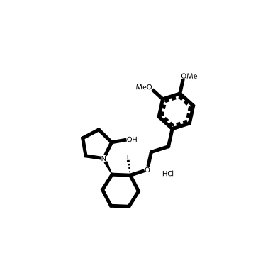 COc1ccc(CCO[C@@]2(I)CCCC[C@H]2N2CCCC2O)cc1OC.Cl